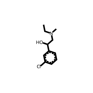 CCN(C)CC(O)c1cccc(Cl)c1